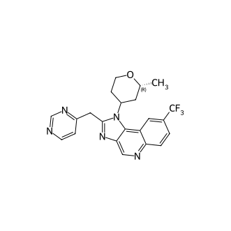 C[C@@H]1CC(n2c(Cc3ccncn3)nc3cnc4ccc(C(F)(F)F)cc4c32)CCO1